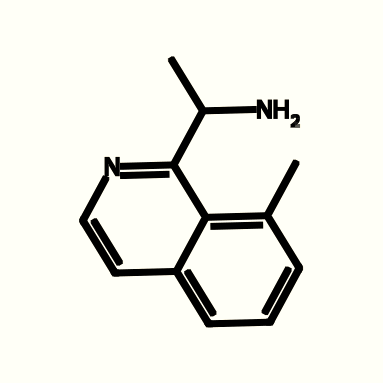 Cc1cccc2ccnc(C(C)N)c12